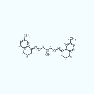 Cc1ccc2c(n1)/C(=N/OCC(O)CO/N=C1\CCCc3ccc(C)nc31)CCC2